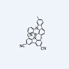 Cc1ccc2c3ccc(C)c4c3n(c2c1)-c1ccccc1B4n1c2c(C)cc(C#N)cc2c2cc(C#N)cc(C#N)c21